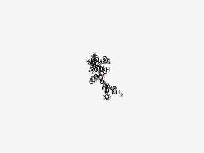 CC(C)c1[nH]nc(O[C@@H]2O[C@H](COC(=O)C(C)(C)C)[C@@H](OC(=O)C(C)(C)C)[C@H](OC(=O)C(C)(C)C)[C@H]2OC(=O)C(C)(C)C)c1Cc1ccc(OCCCN(CCC(N)=O)C(=O)OCc2ccccc2)cc1OC1CCOCC1